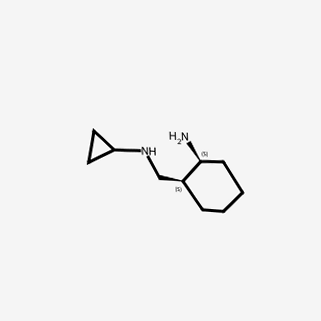 N[C@H]1CCCC[C@H]1CNC1CC1